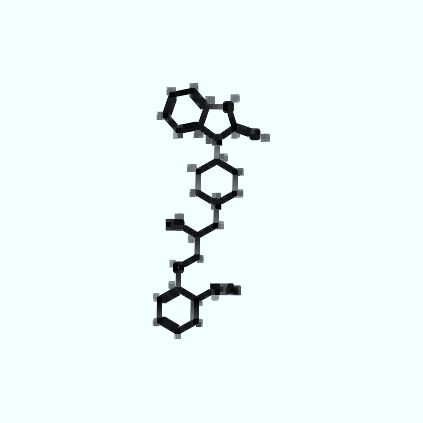 CC(=O)Nc1ccccc1OCC(O)CN1CCC(n2c(=O)oc3ccccc32)CC1